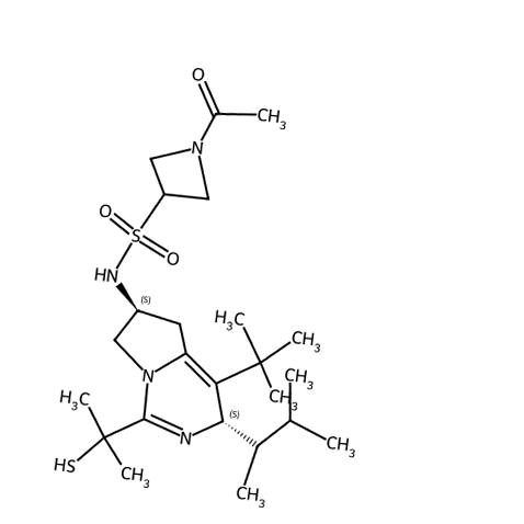 CC(=O)N1CC(S(=O)(=O)N[C@H]2CC3=C(C(C)(C)C)[C@H](C(C)C(C)C)N=C(C(C)(C)S)N3C2)C1